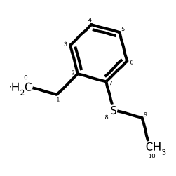 [CH2]Cc1ccccc1SCC